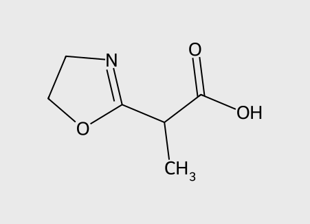 CC(C(=O)O)C1=NCCO1